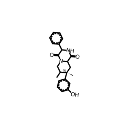 CC1CN2C(=O)C(c3ccccc3)NC(=O)C2C[C@@]1(C)c1cccc(O)c1